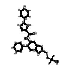 CC(C)(O)CCn1cc2cc(NC(=O)c3csc(-c4ccncc4)n3)c(-c3cccnc3)cc2n1